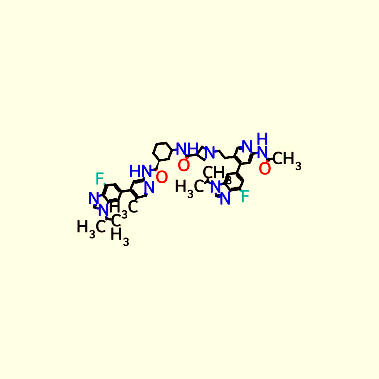 CC(=O)Nc1cc(-c2cc(F)c3ncn(C(C)C)c3c2)c(CCN2CC(C(=O)N[C@@H]3CCC[C@H](C(=O)Nc4cc(-c5cc(F)c6ncn(C(C)C)c6c5)c(C)cn4)C3)C2)cn1